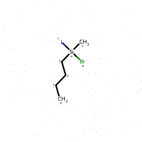 CCCC[Si](C)(Br)I